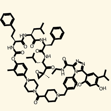 CCNC(=O)c1nnc(-c2cc(C(C)C)c(O)cc2O)n1-c1ccc(CN2CCC(C(=O)N3CCN(c4ccc(OC(=O)N[C@@H](CCc5ccccc5)C(=O)N[C@@H](CC(C)C)C(=O)N[C@@H](Cc5ccccc5)C(=O)N[C@@H](CC(C)C)C(=O)[C@@]5(C)CO5)c(C)c4)CC3)CC2)cc1